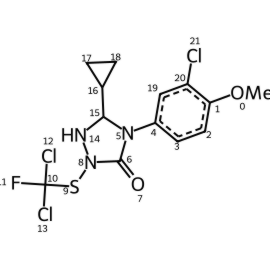 COc1ccc(N2C(=O)N(SC(F)(Cl)Cl)NC2C2CC2)cc1Cl